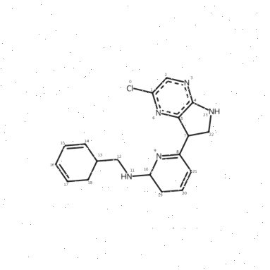 Clc1cnc2c(n1)C(C1=NC(NCC3C=CC=CC3)CC=C1)CN2